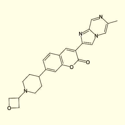 Cc1cn2cc(-c3cc4ccc(C5CCN(C6COC6)CC5)cc4oc3=O)nc2cn1